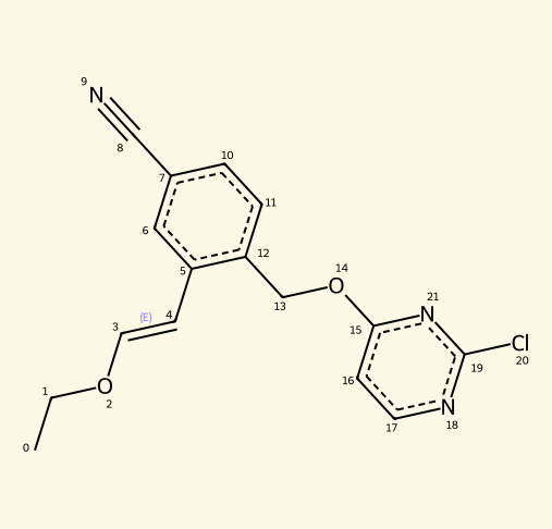 CCO/C=C/c1cc(C#N)ccc1COc1ccnc(Cl)n1